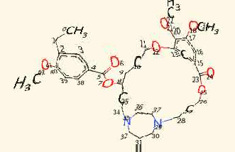 CCc1cc(C(=O)OC2CCCOc3cc(cc(OC)c3OC)C(=O)OCCCN3CCCN(CC2)CC3)ccc1OC